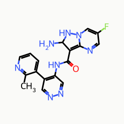 Cc1ncccc1-c1cnncc1NC(=O)C1=C2N=CC(F)=CN2NC1N